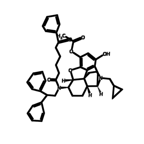 CC(=O)Oc1cc(O)c2c3c1O[C@H]1[C@H](N(CC(c4ccccc4)c4ccccc4)C(=O)CCCCC(=O)c4ccccc4)CC[C@H]4[C@@H](C2)N(CC2CC2)CC[C@@]341